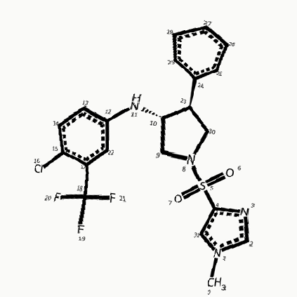 Cn1cnc(S(=O)(=O)N2C[C@H](Nc3ccc(Cl)c(C(F)(F)F)c3)[C@@H](c3ccccc3)C2)c1